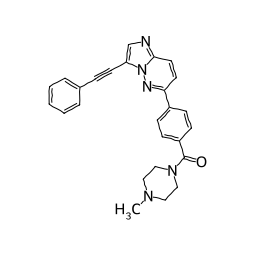 CN1CCN(C(=O)c2ccc(-c3ccc4ncc(C#Cc5ccccc5)n4n3)cc2)CC1